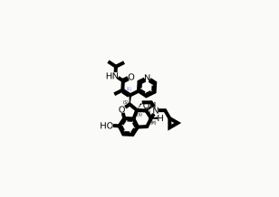 C/C(C(=O)NC(C)C)=C(/c1cccnc1)[C@@H]1Oc2c(O)ccc3c2[C@@]12CCN(CC1CC1)[C@H](C3)[C@@]2(C)O